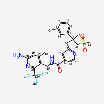 Cc1cccc(C(C)(Cc2cc(C(=O)NCc3c(C)cc(N)nc3C(F)(F)F)ccn2)CS(C)(=O)=O)c1